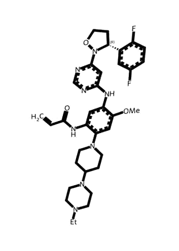 C=CC(=O)Nc1cc(Nc2cc(N3OCC[C@@H]3c3cc(F)ccc3F)ncn2)c(OC)cc1N1CCC(N2CCN(CC)CC2)CC1